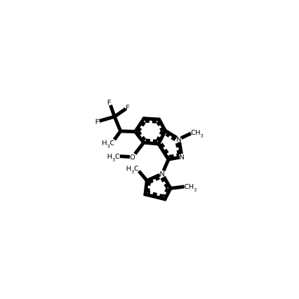 COc1c(C(C)C(F)(F)F)ccc2c1c(-n1c(C)ccc1C)nn2C